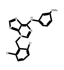 COc1cccc(Nc2ncn(Cc3c(Cl)cccc3Cl)c3ncnc2-3)c1